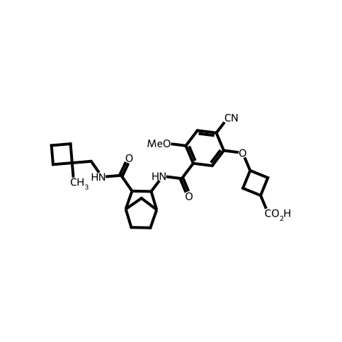 COc1cc(C#N)c(OC2CC(C(=O)O)C2)cc1C(=O)NC1C2CCC(C2)C1C(=O)NCC1(C)CCC1